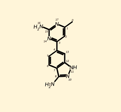 Cc1cc(-c2ccc3c(N)n[nH]c3c2)nc(N)n1